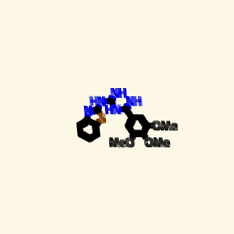 COc1cc(C(=N)NC(=N)Nc2nc3ccccc3s2)cc(OC)c1OC